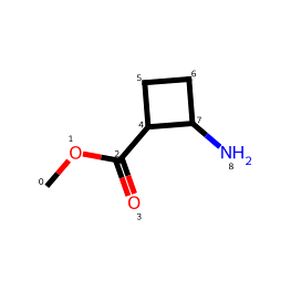 COC(=O)C1CCC1N